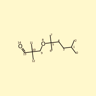 CC(C)CCC(C)(C)OCC(C)(C)C=O